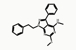 CNc1nc(SC)nc2c1c(-c1ccccc1)nn2CCc1ccccc1